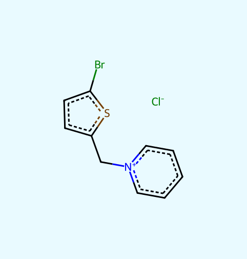 Brc1ccc(C[n+]2ccccc2)s1.[Cl-]